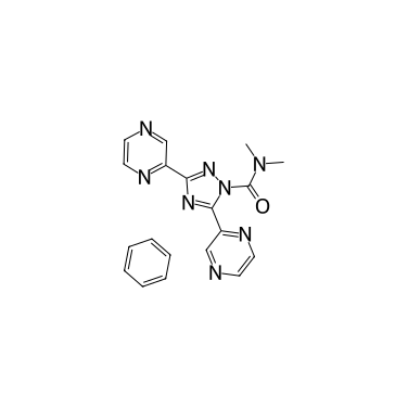 CN(C)C(=O)n1nc(-c2cnccn2)nc1-c1cnccn1.c1ccccc1